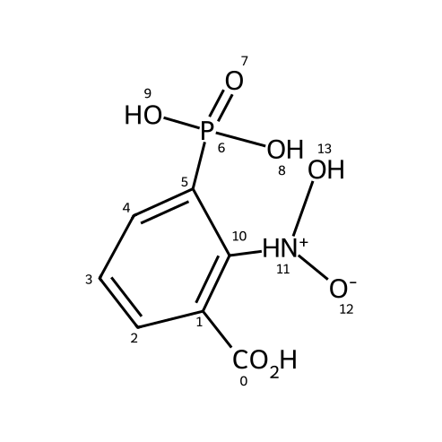 O=C(O)c1cccc(P(=O)(O)O)c1[NH+]([O-])O